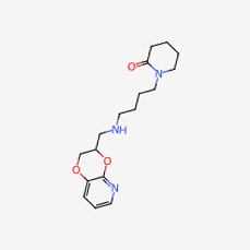 O=C1CCCCN1CCCCNCC1COc2cccnc2O1